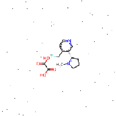 CN1CCC[C@H]1c1cnccc1CF.O=C(O)C(=O)O